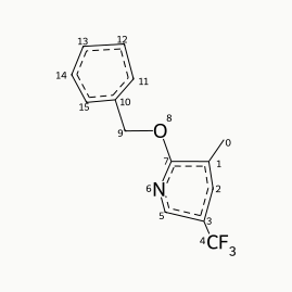 Cc1cc(C(F)(F)F)cnc1OCc1ccccc1